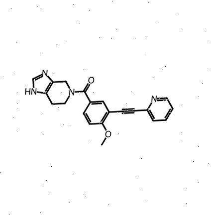 COc1ccc(C(=O)N2CCc3[nH]cnc3C2)cc1C#Cc1ccccn1